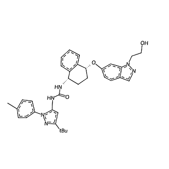 Cc1ccc(-n2nc(C(C)(C)C)cc2NC(=O)N[C@H]2CC[C@@H](Oc3ccc4cnn(CCO)c4c3)c3ccccc32)cc1